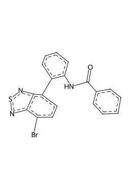 O=C(Nc1ccccc1-c1ccc(Br)c2nsnc12)c1ccccc1